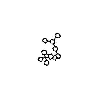 c1ccc(-c2cc(-c3ccccc3)nc(-c3ccc(-c4cccc5oc6cc7c(cc6c45)-c4ccccc4C7(c4ccccc4)c4ccccc4)cc3)c2)cc1